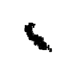 CC(C)c1noc(N2CCC(Oc3ccc(-n4ccc5cc(S(C)(=O)=O)cc(F)c54)nc3)CC2)n1